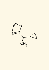 C[C](c1nccs1)C1CC1